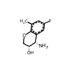 Cc1cc(F)cc2c1OC[C@@H](O)[C@H]2N